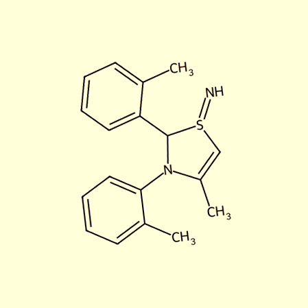 CC1=CS(=N)C(c2ccccc2C)N1c1ccccc1C